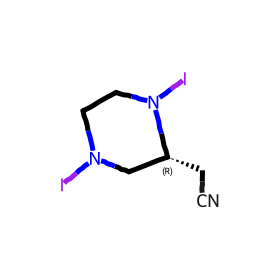 N#CC[C@@H]1CN(I)CCN1I